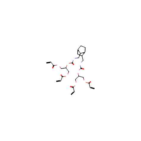 C=CC(=O)OCC(COC(=O)C=C)OC(=O)NCC1CC2CCC1C2CNC(=O)OC(COC(=O)C=C)COC(=O)C=C